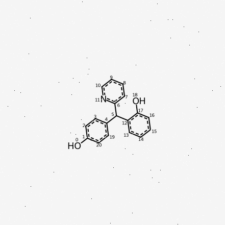 Oc1ccc(C(c2ccccn2)c2ccccc2O)cc1